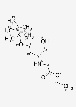 CCOC(=O)CNC(CO)CCO[Si](C)(C)C(C)(C)C